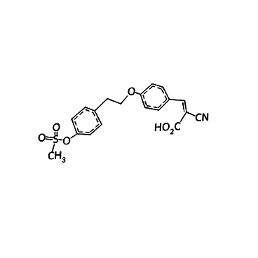 CS(=O)(=O)Oc1ccc(CCOc2ccc(C=C(C#N)C(=O)O)cc2)cc1